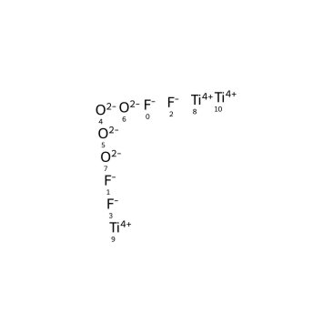 [F-].[F-].[F-].[F-].[O-2].[O-2].[O-2].[O-2].[Ti+4].[Ti+4].[Ti+4]